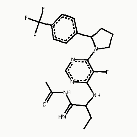 CCC(Nc1ncnc(N2CCCC2c2ccc(C(F)(F)F)cc2)c1F)C(=N)NC(C)=O